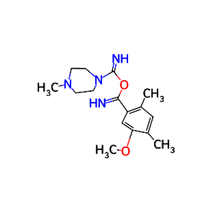 COc1cc(C(=N)OC(=N)N2CCN(C)CC2)c(C)cc1C